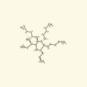 C=CC[C@H]1OC([C@H](O)CO)[C@@H](OCCCC)[C@H](OCCCC)C1OCCCC